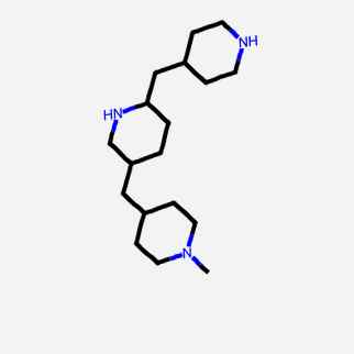 CN1CCC(CC2CCC(CC3CCNCC3)NC2)CC1